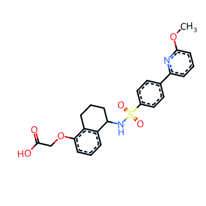 COc1cccc(-c2ccc(S(=O)(=O)NC3CCCc4c(OCC(=O)O)cccc43)cc2)n1